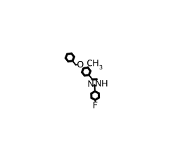 Cc1cc(-c2c[nH]c(-c3ccc(F)cc3)n2)ccc1OCc1ccccc1